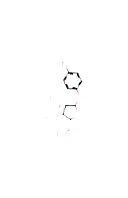 O=[N+]([O-])c1ccc(OC2O[C@H](CO)[C@@H](O)[C@H]2O)cc1